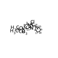 CC(C)(C)OC(=O)N1CCn2c(nc(CN3CCCCC3)c2Cl)C1